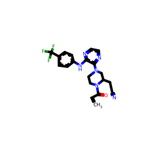 C=CC(=O)N1CCN(c2nccnc2Nc2ccc(C(F)(F)F)cc2)CC1CC#N